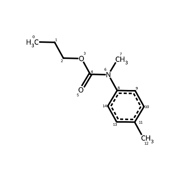 CCCOC(=O)N(C)c1ccc(C)cc1